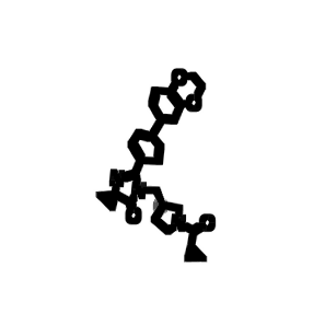 O=C(C1CC1)N1CC[C@@H](CN2C(=O)C3(CC3)N=C2c2ccc(-c3ccc4c(c3)OCCO4)cc2)C1